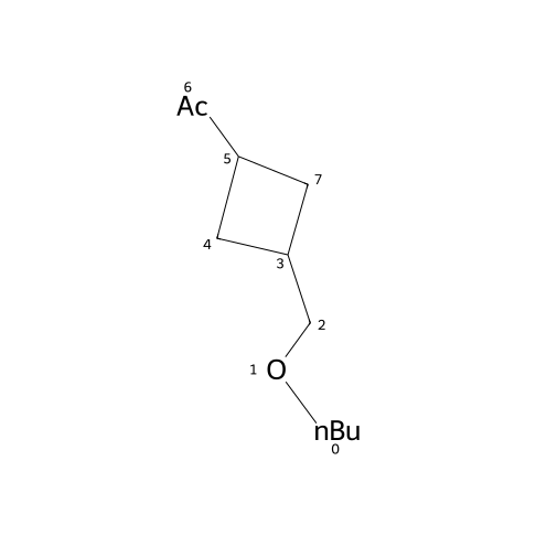 CCCCOCC1CC(C(C)=O)C1